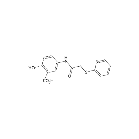 O=C(CSc1ccccn1)Nc1ccc(O)c(C(=O)O)c1